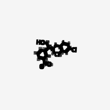 CN(Cc1ccc(Cl)cc1Cl)C(CO)c1cccc([N+](=O)[O-])c1